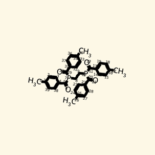 Cc1ccc(C(=O)P(CCP(C(=O)c2ccc(C)cc2)C(=O)c2ccc(C)cc2)C(=O)c2ccc(C)cc2)cc1